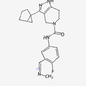 C/N=C\c1cc(NC(=O)N2CCc3[nH]nc(C45CCCC4C5)c3C2)ccc1F